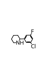 Fc1cc(Cl)cc(C2CCCCN2)c1